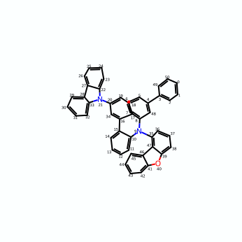 c1ccc(-c2cccc(N(c3ccccc3-c3cccc(-n4c5ccccc5c5ccccc54)c3)c3cccc4oc5ccccc5c34)c2)cc1